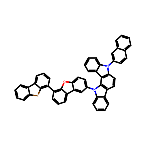 c1ccc2cc(-n3c4ccccc4c4c3ccc3c5ccccc5n(-c5ccc6oc7c(-c8cccc9c8sc8ccccc89)cccc7c6c5)c34)ccc2c1